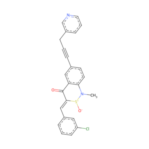 CN1c2ccc(C#CCc3cccnc3)cc2C(=O)/C(=C/c2cccc(Cl)c2)[S+]1[O-]